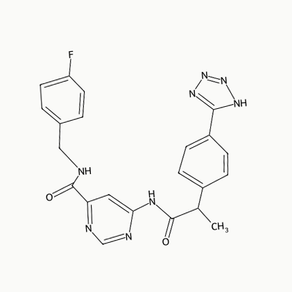 CC(C(=O)Nc1cc(C(=O)NCc2ccc(F)cc2)ncn1)c1ccc(-c2nnn[nH]2)cc1